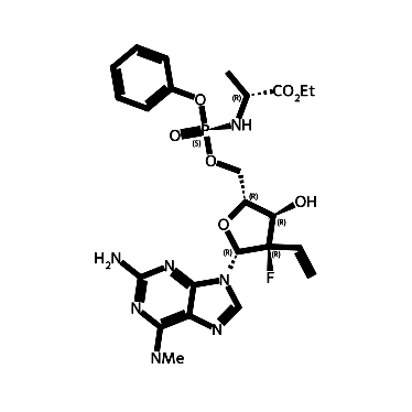 C=C[C@@]1(F)[C@H](O)[C@@H](CO[P@@](=O)(N[C@H](C)C(=O)OCC)Oc2ccccc2)O[C@H]1n1cnc2c(NC)nc(N)nc21